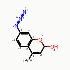 CC(C)C1=CC(O)Oc2cc(N=[N+]=[N-])ccc21